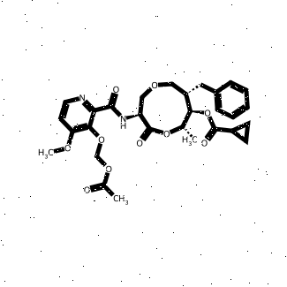 COc1ccnc(C(=O)N[C@H]2COC[C@H](Cc3ccccc3)[C@@H](OC(=O)C3CC3)[C@H](C)OC2=O)c1OCOC(C)=O